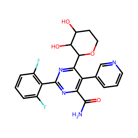 NC(=O)c1nc(-c2c(F)cccc2F)nc(C2OCCC(O)C2O)c1-c1cccnc1